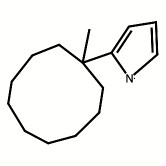 CC1(C2=CC=C[N]2)CCCCCCCCC1